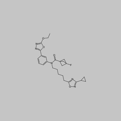 CCOc1nnc(-c2cccc(N(CCCCCc3nc(C4CC4)no3)C(=O)C34CC(F)(C3)C4)c2)o1